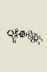 CC(C)(C)OC(=O)N1CC2CCC1CN2S(=O)(=O)c1ccccc1C#N